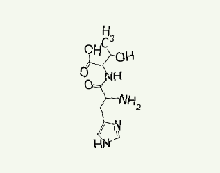 CC(O)C(NC(=O)C(N)Cc1c[nH]cn1)C(=O)O